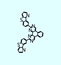 c1cnc2c(c1)sc1ccc(-c3ncc4c5ccccc5c5cnc(-c6ccc7sc8cccnc8c7c6)nc5c4n3)cc12